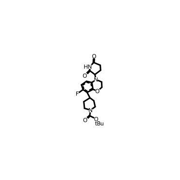 CC(C)(C)OC(=O)N1CCC(c2c(F)ccc3c2OCCN3C2CCC(=O)NC2=O)CC1